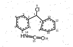 ClC(c1ccccc1)c1ccccc1.N=C=O